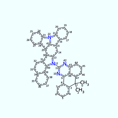 CC1(C)c2ccccc2-c2nc(-n3c4cc5c6ccccc6n6c7ccccc7c(c4c4ccc7ccccc7c43)c56)nc3cccc1c23